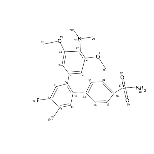 COc1cc(-c2cc(F)c(F)cc2-c2ccc(S(N)(=O)=O)cc2)cc(OC)c1N(C)C